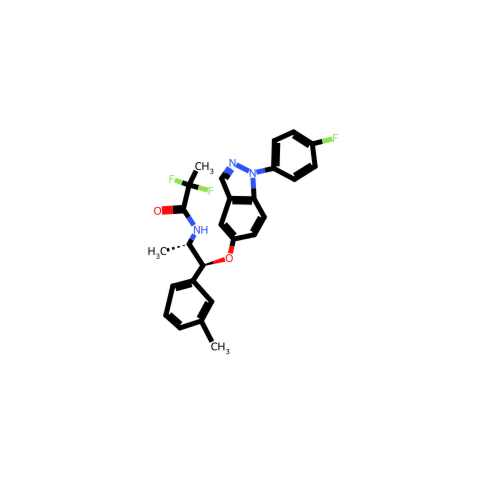 Cc1cccc([C@H](Oc2ccc3c(cnn3-c3ccc(F)cc3)c2)[C@H](C)NC(=O)C(C)(F)F)c1